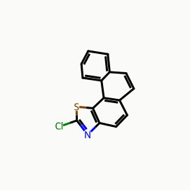 Clc1nc2ccc3ccc4ccccc4c3c2s1